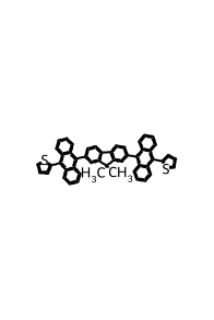 CC1(C)c2cc(-c3c4ccccc4c(-c4cccs4)c4ccccc34)ccc2-c2ccc(-c3c4ccccc4c(-c4cccs4)c4ccccc34)cc21